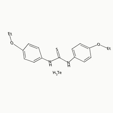 CCOc1ccc(NC(=S)Nc2ccc(OCC)cc2)cc1.[TeH2]